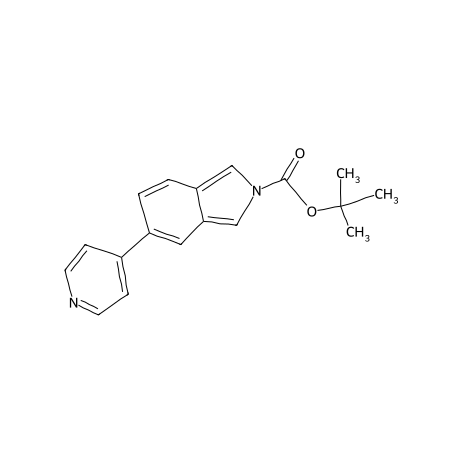 CC(C)(C)OC(=O)n1cc2ccc(-c3ccncc3)cc2c1